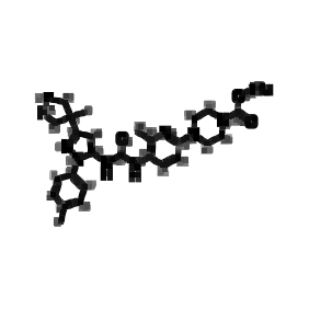 Cc1ccc(-n2nc(C(C)(CF)CF)cc2NC(=O)Nc2ccc(N3CCN(C(=O)OC(C)(C)C)CC3)nc2C)cc1